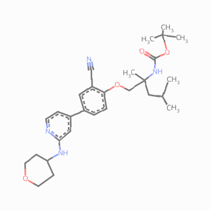 CC(C)CC(C)(COc1ccc(-c2ccnc(NC3CCOCC3)c2)cc1C#N)NC(=O)OC(C)(C)C